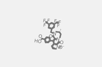 C[C@@H]1CCn2c(c(-c3ccc(C(=O)O)cc3)c3ccc[n+]([O-])c3c2=O)C(=O)N(Cc2cc(C(F)(F)F)cc(C(F)(F)F)c2)C1